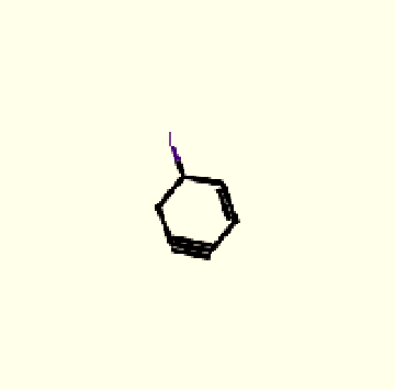 IC1C=CC#CC1